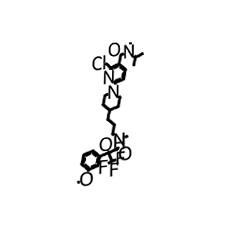 COc1cccc([C@@](O)(C(=O)N(C)CCCC2CCN(c3ccc(C(=O)N(C)C(C)C)c(Cl)n3)CC2)C(F)(F)F)c1